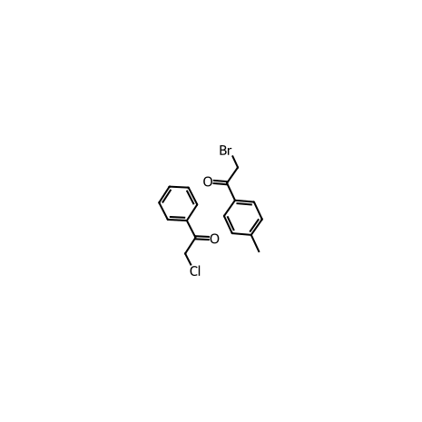 Cc1ccc(C(=O)CBr)cc1.O=C(CCl)c1ccccc1